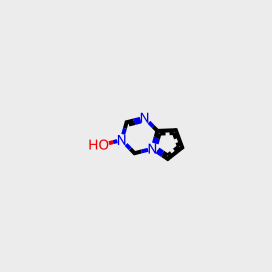 ON1C=Nc2cccn2C1